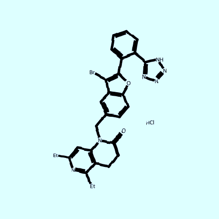 CCc1cc2c(c(CC)n1)CCC(=O)N2Cc1ccc2oc(-c3ccccc3-c3nnn[nH]3)c(Br)c2c1.Cl